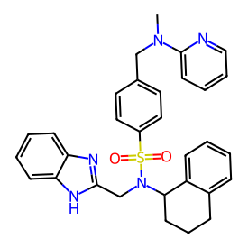 CN(Cc1ccc(S(=O)(=O)N(Cc2nc3ccccc3[nH]2)C2CCCc3ccccc32)cc1)c1ccccn1